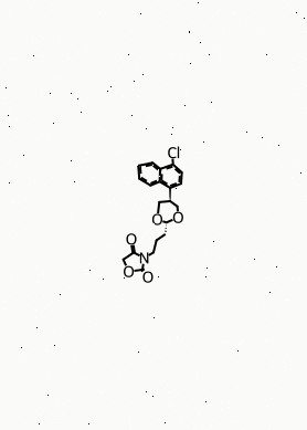 O=C1COC(=O)N1CCC[C@H]1OC[C@H](c2ccc(Cl)c3ccccc32)CO1